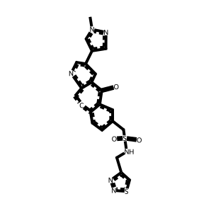 Cn1cc(-c2cnc3ccc4ccc(CS(=O)(=O)NCc5csnn5)cc4c(=O)c3c2)cn1